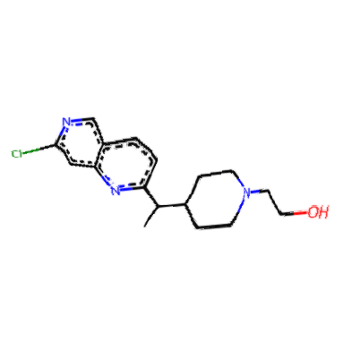 CC(c1ccc2cnc(Cl)cc2n1)C1CCN(CCO)CC1